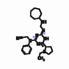 CCN1CCCC1CNC(=N/CNC1CCCCCC1)/N=C(\N)N(CC#N)c1ccccc1